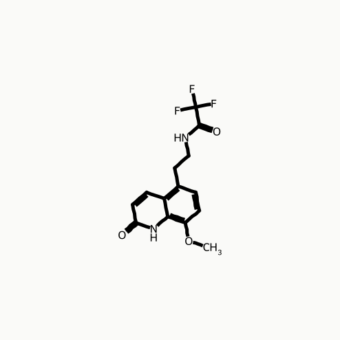 COc1ccc(CCNC(=O)C(F)(F)F)c2ccc(=O)[nH]c12